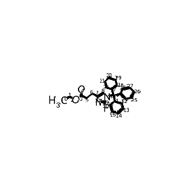 CCOC(=O)CCc1cn(C(c2ccccc2)(c2ccccc2)c2ccccc2)c(F)n1